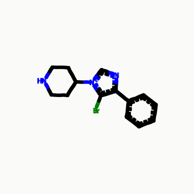 Brc1c(-c2ccccc2)ncn1C1CCNCC1